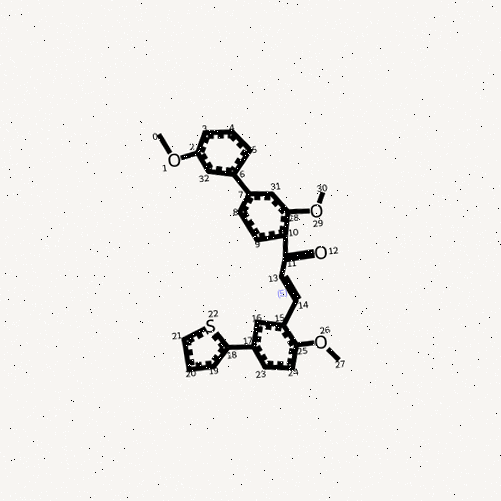 COc1cccc(-c2ccc(C(=O)/C=C/c3cc(-c4cccs4)ccc3OC)c(OC)c2)c1